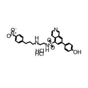 Cl.Cl.O=[N+]([O-])c1ccc(CCCNCCNS(=O)(=O)c2cc(-c3ccc(O)cc3)cc3cnccc23)cc1